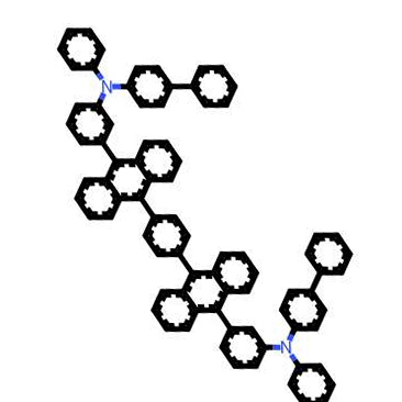 c1ccc(-c2ccc(N(c3ccccc3)c3cccc(-c4c5ccccc5c(-c5ccc(-c6c7ccccc7c(-c7cccc(N(c8ccccc8)c8ccc(-c9ccccc9)cc8)c7)c7ccccc67)cc5)c5ccccc45)c3)cc2)cc1